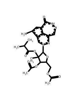 CC(=O)OCC1OC(n2cc3c(N)cc4c(=O)[nH]ncc(n2)c34)C(C)(OC(=O)C(C)C)C1OC(C)=O